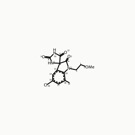 COCCN1C(=O)C2(NC(=O)NC2=O)c2cc(Cl)cc(C)c21